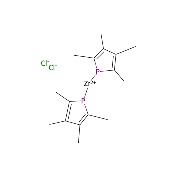 Cc1c(C)c(C)[p]([Zr+2][p]2c(C)c(C)c(C)c2C)c1C.[Cl-].[Cl-]